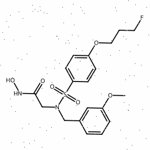 COc1cccc(CN(CC(=O)NO)S(=O)(=O)c2ccc(OCCCF)cc2)c1